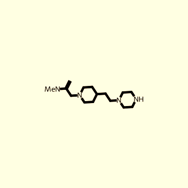 C=C(CN1CCC(CCN2CCNCC2)CC1)NC